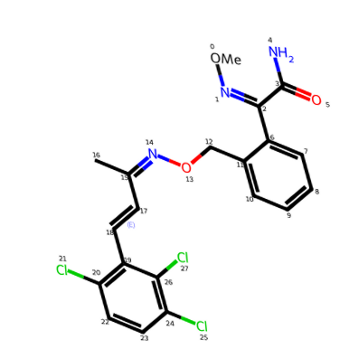 CON=C(C(N)=O)c1ccccc1CON=C(C)/C=C/c1c(Cl)ccc(Cl)c1Cl